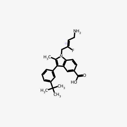 Cc1c(-c2cccc(C(C)(C)C)c2)c2cc(C(=O)O)ccc2n1C/C(F)=C/CN